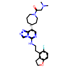 CN(C)CC(=O)N1CCC[C@@H](c2cnc(NCCc3c(F)ccc4c3CCO4)n3cnnc23)CC1